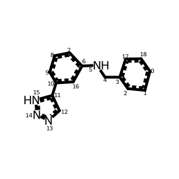 c1ccc(CNc2cccc(-c3cnn[nH]3)c2)cc1